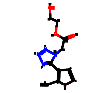 CSc1sccc1-c1nnnn1CC(=O)OCCO